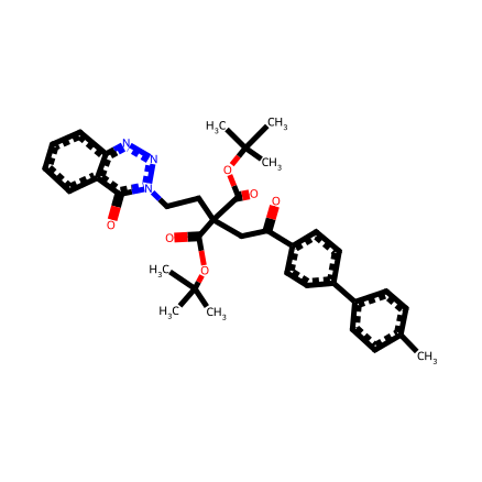 Cc1ccc(-c2ccc(C(=O)CC(CCn3nnc4ccccc4c3=O)(C(=O)OC(C)(C)C)C(=O)OC(C)(C)C)cc2)cc1